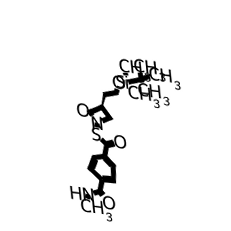 CNC(=O)c1ccc(C(=O)SN2C[C@H](CCO[Si](C)(C)C(C)(C)C)C2=O)cc1